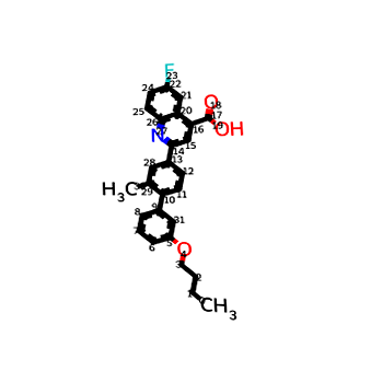 CCCCOc1cccc(-c2ccc(-c3cc(C(=O)O)c4cc(F)ccc4n3)cc2C)c1